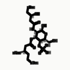 CCCCCCCCCCCC[C@H](CCCCCCCCC)CC(=O)O[C@@H]1[C@H](NC(=O)C[C@H](O)CCCCCCCCCCC)[C@@H](O)O[C@H](CO)[C@H]1OP(=O)(O)O